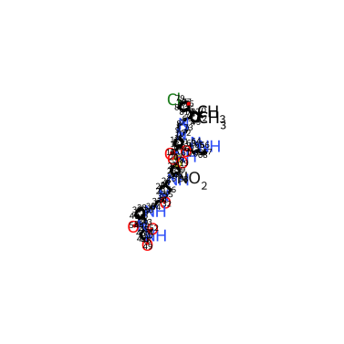 CC1(C)CCC(CN2CCN(c3ccc(C(=O)NS(=O)(=O)c4ccc(NCC5CCN(C(=O)CCCNc6cccc7c6CN(C6CCC(=O)NC6=O)C7=O)CC5)c([N+](=O)[O-])c4)c(Oc4cnc5[nH]ccc5c4)c3)CC2)=C(c2ccc(Cl)cc2)C1